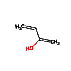 C=CC(=C)O